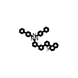 c1ccc(-c2ccc(-c3nc(-c4ccc(-c5ccccc5)cc4)nc(-c4cccc(-c5cccc(-c6cccc7c6sc6ccc8ccccc8c67)c5)c4)n3)cc2)cc1